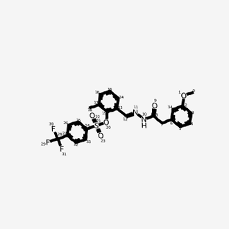 COc1cccc(CC(=O)NN=Cc2cccc(C)c2OS(=O)(=O)c2ccc(C(F)(F)F)cc2)c1